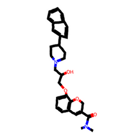 CN(C)C(=O)C1=Cc2cccc(OCC(O)CN3CCC(c4ccc5ccccc5c4)CC3)c2OC1